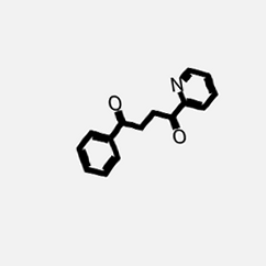 O=C(CCC(=O)c1ccccn1)c1ccccc1